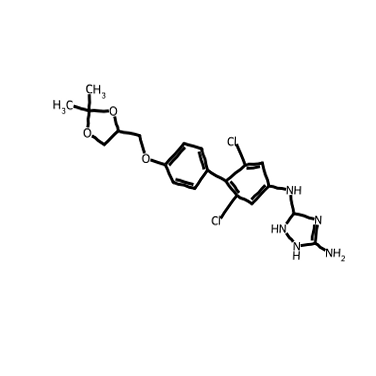 CC1(C)OCC(COc2ccc(-c3c(Cl)cc(NC4N=C(N)NN4)cc3Cl)cc2)O1